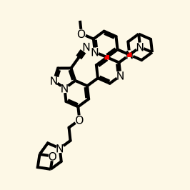 COc1ccc(CN2C3CC2CN(c2ccc(-c4cc(OCCN5CC6CC(C5)O6)cn5ncc(C#N)c45)cn2)C3)cn1